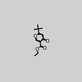 CCOC(=O)c1coc(C(C)(C)C)cc1=O